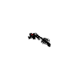 O=C(NCCCCc1cc(Cl)c(COC2(c3cnccc3-c3ccccc3OC3CC3)CC2)cc1Cl)[C@H](O)[C@H](O)[C@@H](O)[C@H](O)CN1CCOCC1